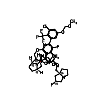 COCOc1cc(Cl)c(C(F)(F)F)c(-c2nc3c4c(nc(OC[C@@]56CCCN5C[C@@H](F)C6)nc4c2F)N2C[C@H]4CC[C@@H]([C@H]2CO3)N4C(=O)OC(C)(C)C)c1